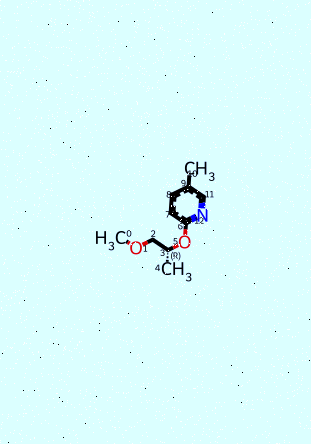 COC[C@@H](C)Oc1ccc(C)cn1